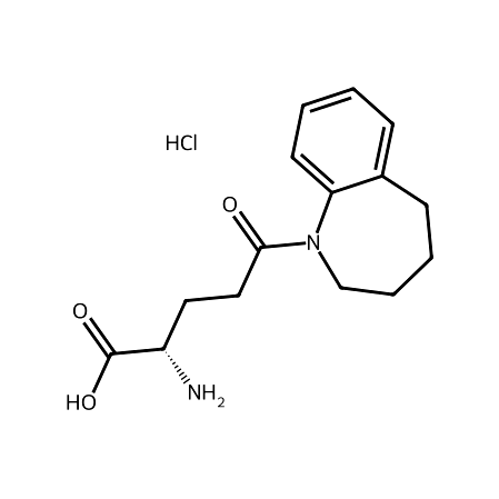 Cl.N[C@@H](CCC(=O)N1CCCCc2ccccc21)C(=O)O